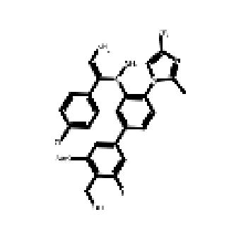 CSc1cc(-c2ccc(-n3cc(C(F)(F)F)nc3C)c(N(N)/C(=C\N)c3ccc(Cl)cc3)c2)cc(F)c1CO